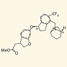 COC(=O)CC1COc2cc(O[C@@H]3CCc4c3ccc(C(F)(F)F)c4CN3C4CCC[C@H]3CC4)ccc21